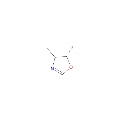 CC1N=CO[C@H]1C